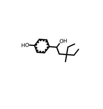 CCC(C)(CC)CC(O)c1ccc(O)cc1